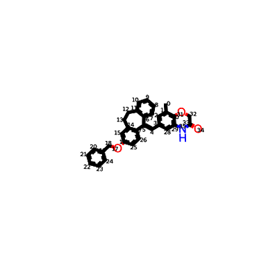 Cc1cc(/C=C2\c3ccccc3CCc3cc(OCc4ccccc4)ccc32)cc2c1OCC(=O)N2